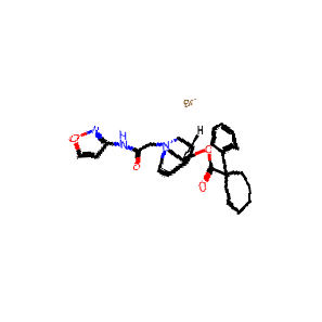 O=C(C[N+]12CCC(CC1)[C@@H](OC(=O)C1(c3ccccc3)CCCCCC1)C2)Nc1ccon1.[Br-]